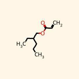 C=CC(=O)OCC(CC)CCC